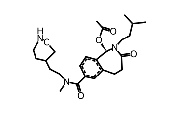 CC(=O)O[C@@H]1c2ccc(C(=O)N(C)CCC3CCNCC3)cc2CCC(=O)N1CCC(C)C